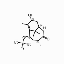 CC[Si](CC)(CC)O[C@@H]1C[C@@H](C)C(=O)C[C@@H]2C[C@@H](O)C(C)=C1C2(C)C